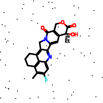 CC[C@@]1(O)C(=O)OCc2c1cc1n(c2=O)Cc2c-1nc1cc(F)c(C)c3c1c2CCC3